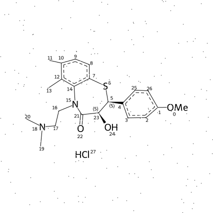 COc1ccc([C@@H]2Sc3ccc(C)c(C)c3N(CCN(C)C)C(=O)[C@@H]2O)cc1.Cl